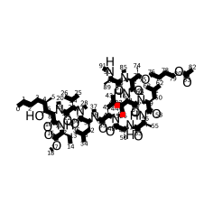 C/C=C/C[C@@H](C)[C@@H](O)[C@@H](C(=O)N[C@@H](CC)C(=O)OC)N(C)C(=O)[C@H](C(C)C)N(C)C(=O)[C@H](CC(C)C)N(C)C(=O)[C@H](CC(C)C)N(C)C(=O)[C@@H](C)NC(=O)[C@H](C)NC(=O)[C@H](CC(C)C)N(C)C(=O)[C@@H](NC(=O)[C@H]([C@H](C)OCCCCOC(C)=O)N(C)C(=O)[C@@H](C)NC)C(C)C